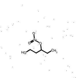 CCC(CCO)O[N+](=O)[O-]